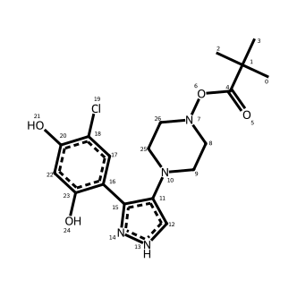 CC(C)(C)C(=O)ON1CCN(c2c[nH]nc2-c2cc(Cl)c(O)cc2O)CC1